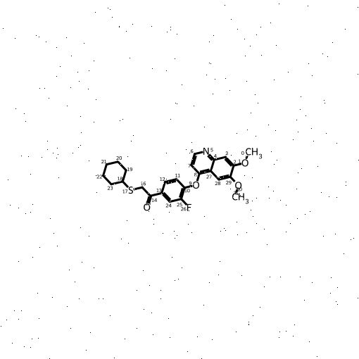 COc1cc2nccc(Oc3ccc(C(=O)CSC4CCCCC4)cc3F)c2cc1OC